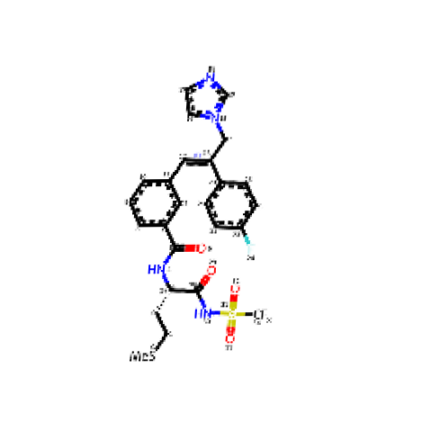 CSCC[C@H](NC(=O)c1cccc(/C=C(/Cn2ccnc2)c2ccc(F)cc2)c1)C(=O)NS(=O)(=O)C(F)(F)F